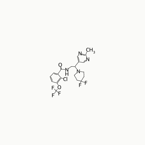 Cc1ncc(C(CNC(=O)c2cccc(OC(F)(F)F)c2Cl)N2CCC(F)(F)CC2)cn1